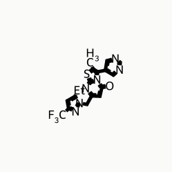 CCc1cc(C(F)(F)F)nn1Cc1cc(=O)n2c(-c3cncnc3)c(C)sc2n1